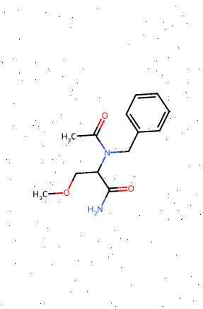 COCC(C(N)=O)N(Cc1ccccc1)C(C)=O